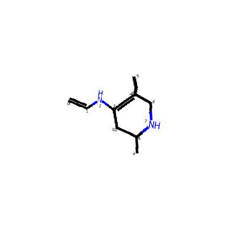 C=CNC1=C(C)CNC(C)C1